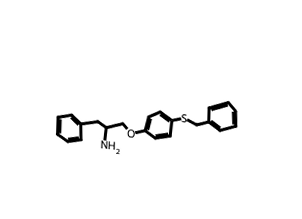 NC(COc1ccc(SCc2ccccc2)cc1)Cc1ccccc1